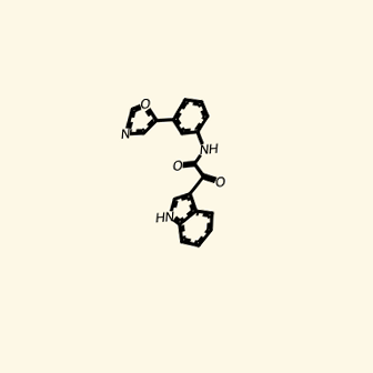 O=C(Nc1cccc(-c2cnco2)c1)C(=O)c1c[nH]c2ccccc12